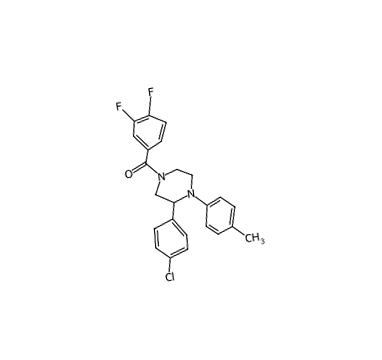 Cc1ccc(N2CCN(C(=O)c3ccc(F)c(F)c3)CC2c2ccc(Cl)cc2)cc1